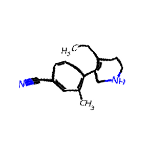 CCC1=C(c2ccc(C#N)cc2C)CNCC1